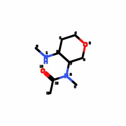 CNC1CCOCC1N(C)C(C)=O